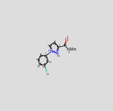 CNC(=O)c1ccn(-c2cc[c]c(F)c2)n1